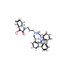 O=C1C(=O)N(CCCN2CCN(C(c3ccccc3)(c3ccccc3)c3ccccc3)CC2)c2ccccc21